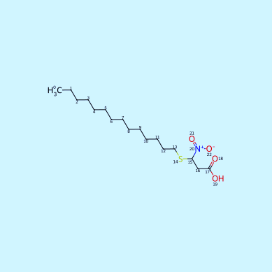 CCCCCCCCCCCCCCSC(CC(=O)O)[N+](=O)[O-]